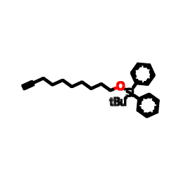 C#CCCCCCCCCO[Si](c1ccccc1)(c1ccccc1)C(C)(C)C